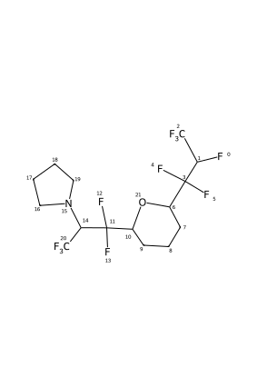 FC(C(F)(F)F)C(F)(F)C1CCCC(C(F)(F)C(N2CCCC2)C(F)(F)F)O1